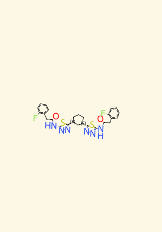 O=C(Cc1ccccc1F)Nc1nnc([C@H]2CCC[C@H](c3nnc(NC(=O)Cc4ccccc4F)s3)C2)s1